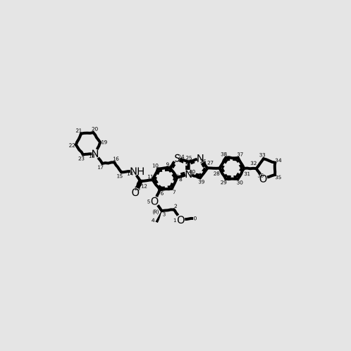 COC[C@@H](C)Oc1cc2c(cc1C(=O)NCCCN1CCCCC1)sc1nc(-c3ccc(C4CCCO4)cc3)cn12